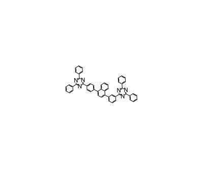 c1ccc(-c2nc(-c3ccccc3)nc(-c3ccc(-c4ccc(-c5cccc(-c6nc(-c7ccccc7)nc(-c7ccccc7)n6)c5)c5ccccc45)cc3)n2)cc1